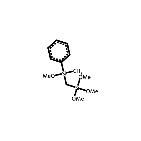 CO[Si](C[Si](C)(OC)c1ccccc1)(OC)OC